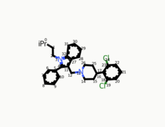 CC(C)CCn1c(-c2ccccc2)c(CN2CCC(c3c(Cl)cccc3Cl)CC2)c2ccccc21